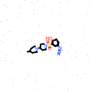 CC1CCN(C2CCN(S(=O)(=O)c3cc(N=[N+]=[N-])ccc3O)CC2)CC1